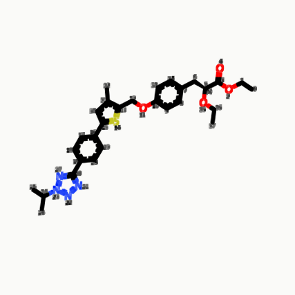 CCOC(=O)[C@H](Cc1ccc(OCc2sc(-c3ccc(-c4nnn(C(C)C)n4)cc3)cc2C)cc1)OCC